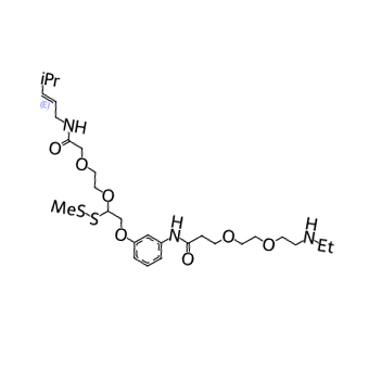 CCNCCOCCOCCC(=O)Nc1cccc(OCC(OCCOCC(=O)NC/C=C/C(C)C)SSC)c1